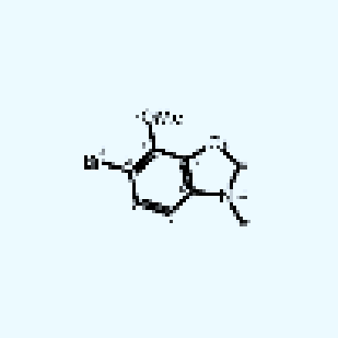 COc1c(Br)ccc2c1OCN2C